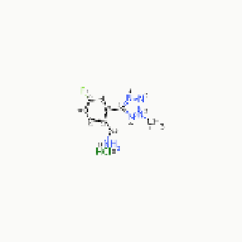 Cl.Cn1nnc(-c2cc(F)ccc2CN)n1